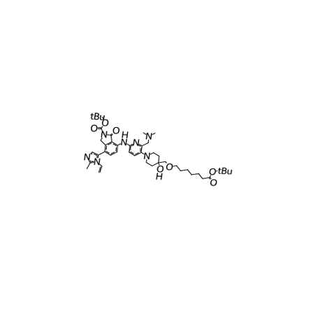 C=Cn1c(-c2ccc(Nc3ccc(N4CCC(O)(COCCCCCCC(=O)OC(C)(C)C)CC4)c(CN(C)C)n3)c3c2CN(C(=O)OC(C)(C)C)C3=O)cnc1C